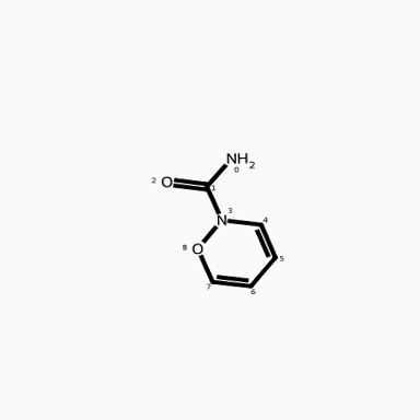 NC(=O)N1C=CC=CO1